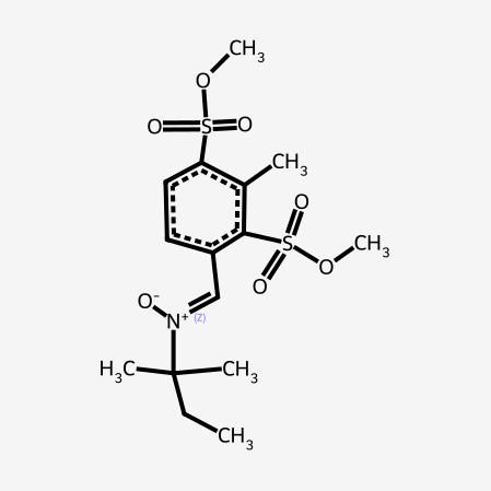 CCC(C)(C)/[N+]([O-])=C/c1ccc(S(=O)(=O)OC)c(C)c1S(=O)(=O)OC